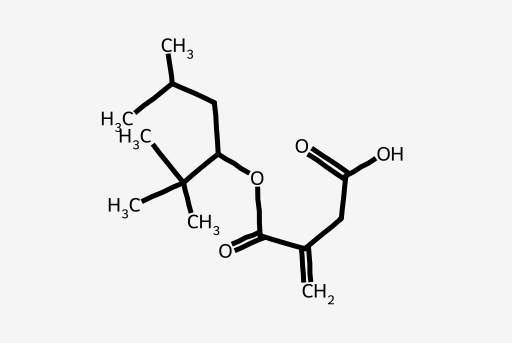 C=C(CC(=O)O)C(=O)OC(CC(C)C)C(C)(C)C